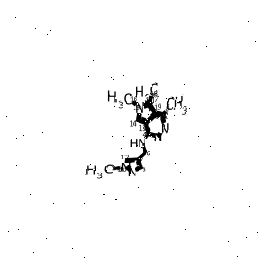 Cc1nnc(NCc2cnn(C)c2)c2cn(C)c(C)c12